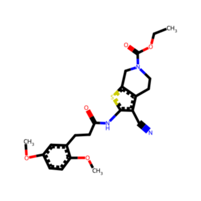 CCOC(=O)N1CCc2c(sc(NC(=O)CCc3cc(OC)ccc3OC)c2C#N)C1